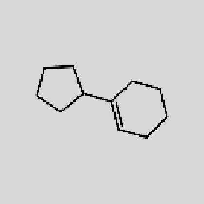 C1=C(C2CCCC2)CCCC1